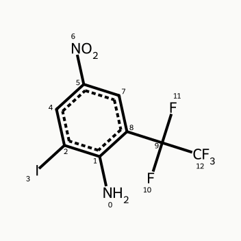 Nc1c(I)cc([N+](=O)[O-])cc1C(F)(F)C(F)(F)F